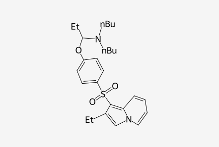 CCCCN(CCCC)C(CC)Oc1ccc(S(=O)(=O)c2c(CC)cn3ccccc23)cc1